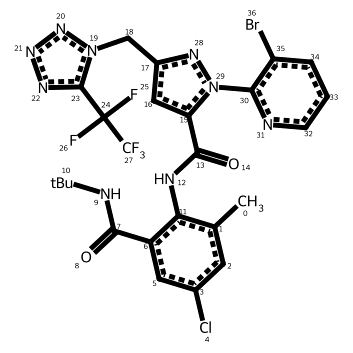 Cc1cc(Cl)cc(C(=O)NC(C)(C)C)c1NC(=O)c1cc(Cn2nnnc2C(F)(F)C(F)(F)F)nn1-c1ncccc1Br